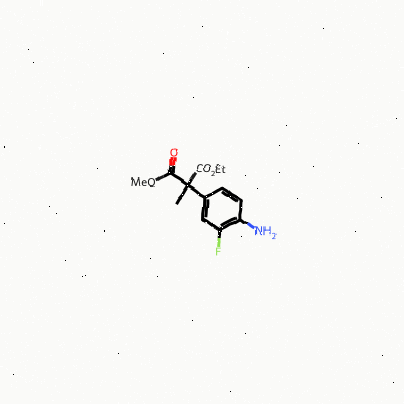 CCOC(=O)C(C)(C(=O)OC)c1ccc(N)c(F)c1